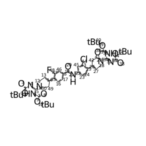 CC(C)(C)OC(=O)N=C(NC(=O)OC(C)(C)C)N1CC=C(c2ccc(C(=O)Nc3ccc(C4=CCN(C(=NC(=O)OC(C)(C)C)NC(=O)OC(C)(C)C)CC4)c(Cl)c3)cc2F)CC1